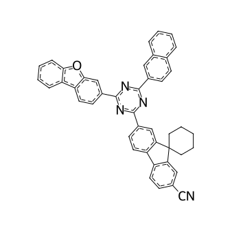 N#Cc1ccc2c(c1)C1(CCCCC1)c1cc(-c3nc(-c4ccc5ccccc5c4)nc(-c4ccc5c(c4)oc4ccccc45)n3)ccc1-2